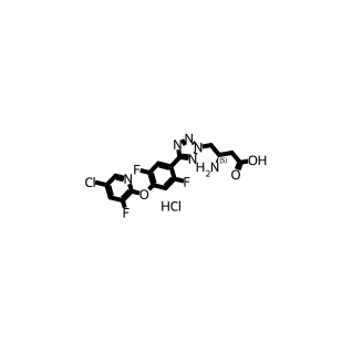 Cl.N[C@@H](CC(=O)O)Cn1nnc(-c2cc(F)c(Oc3ncc(Cl)cc3F)cc2F)n1